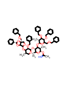 CC(=N)O[C@@H]1OC(C)[C@H](O[C@@H]2OC[C@@H](C)C(O[C@@H]3OC[C@]4(COCc5ccccc5)O[C@@H](c5ccccc5)OC34)[C@H]2OCc2ccccc2)C(O[C@@H]2OC(COCc3ccccc3)[C@@H](OCc3ccccc3)C(OCc3ccccc3)[C@H]2C)[C@@H]1C